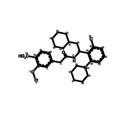 CCOc1cc(CC(=O)NC(CC2CCCCC2)c2c(Cl)cccc2N2CCCCC2)ccc1C(=O)O